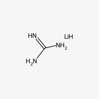 N=C(N)N.[LiH]